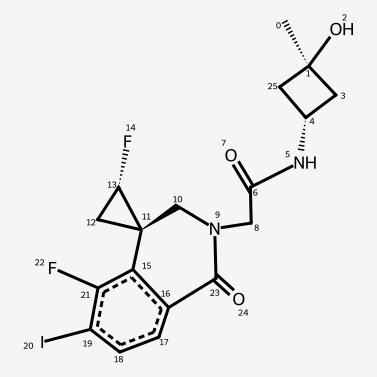 C[C@]1(O)C[C@H](NC(=O)CN2C[C@]3(C[C@@H]3F)c3c(ccc(I)c3F)C2=O)C1